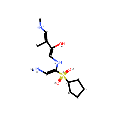 CN/C=C(C)/C(O)=C/N/C(=C\NC)S(=O)(=O)C1CCCC1